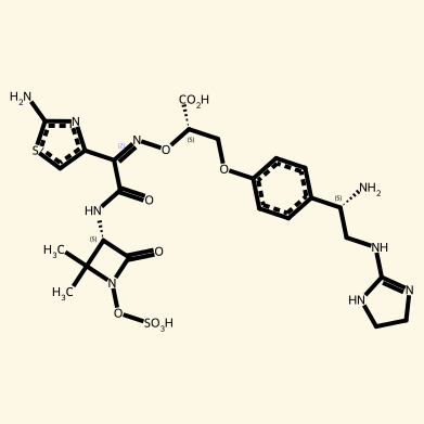 CC1(C)[C@H](NC(=O)/C(=N\O[C@@H](COc2ccc([C@H](N)CNC3=NCCN3)cc2)C(=O)O)c2csc(N)n2)C(=O)N1OS(=O)(=O)O